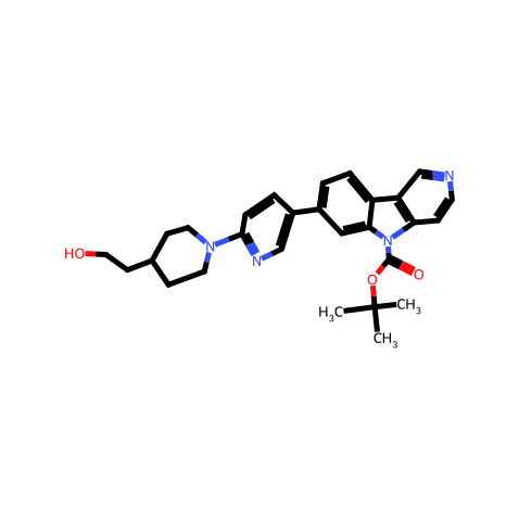 CC(C)(C)OC(=O)n1c2ccncc2c2ccc(-c3ccc(N4CCC(CCO)CC4)nc3)cc21